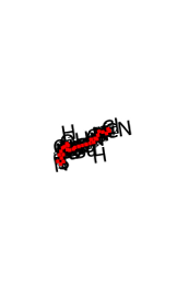 Cc1ncsc1-c1ccc(CNC(=O)[C@@H]2C[C@@H](O)CN2C(=O)C(NC(=O)COCCOCCOc2ccc(C(=O)NC(C)Cn3ccc(-c4ccc(C#N)c(Cl)c4)n3)cc2)C(C)(C)C)cc1